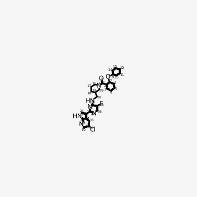 O=C(c1ccccc1Oc1ccccc1)N1CCCC(CNc2nc(-c3c[nH]c4ncc(Cl)cc34)ncc2F)C1